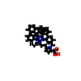 CC/C=C/c1ccc(C(=O)O)n1Cc1ccc(-c2ccccc2-c2nnnn2C(c2ccccc2)(c2ccccc2)c2ccccc2)cc1